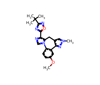 COc1ccc2c(c1)-c1nn(C)cc1Cc1c(-c3nc(C(C)(C)C)no3)ncn1-2